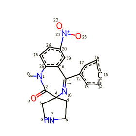 CN1C(=O)C2(CCNCC2)N=C(c2ccccc2)c2cc([N+](=O)[O-])ccc21